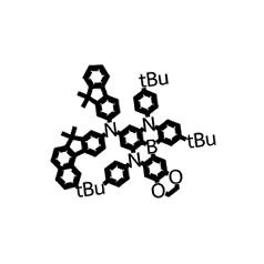 CC(C)(C)c1ccc(N2c3ccc(C(C)(C)C)cc3B3c4cc5c(cc4N(c4ccc(C(C)(C)C)cc4)c4cc(N(c6ccc7c(c6)C(C)(C)c6ccccc6-7)c6ccc7c(c6)C(C)(C)c6ccc8ccccc8c6-7)cc2c43)OCCO5)cc1